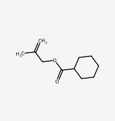 C=C(C)COC(=O)C1CCCCC1